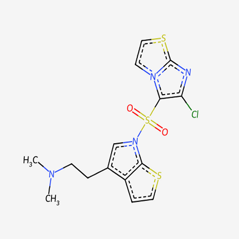 CN(C)CCc1cn(S(=O)(=O)c2c(Cl)nc3sccn23)c2sccc12